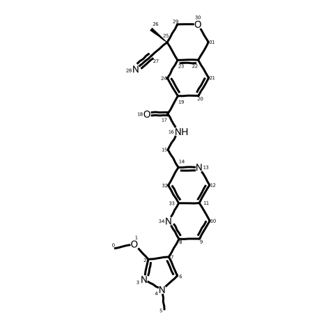 COc1nn(C)cc1-c1ccc2cnc(CNC(=O)c3ccc4c(c3)[C@](C)(C#N)COC4)cc2n1